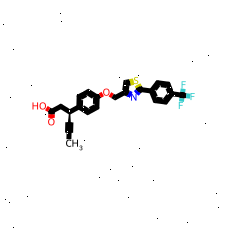 CC#C[C@@H](CC(=O)O)c1ccc(OCc2csc(-c3ccc(C(F)(F)F)cc3)n2)cc1